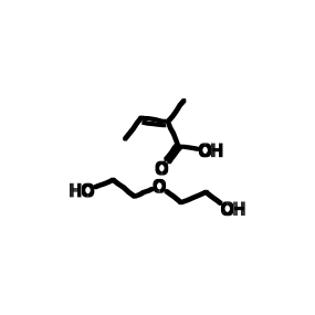 CC=C(C)C(=O)O.OCCOCCO